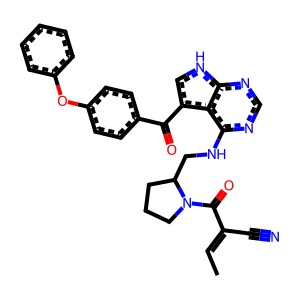 C/C=C(\C#N)C(=O)N1CCCC1CNc1ncnc2[nH]cc(C(=O)c3ccc(Oc4ccccc4)cc3)c12